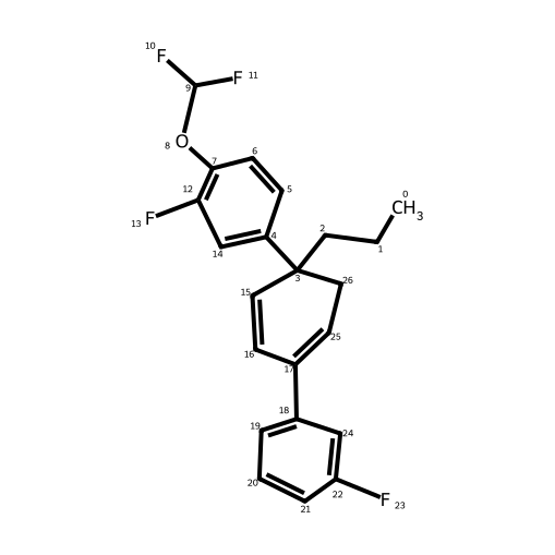 CCCC1(c2ccc(OC(F)F)c(F)c2)C=CC(c2cccc(F)c2)=CC1